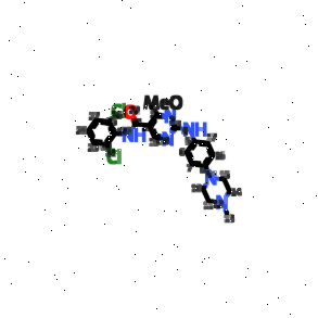 COc1nc(Nc2ccc(N3CCN(C)CC3)cc2)ncc1C(=O)Nc1c(Cl)cccc1Cl